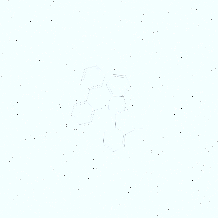 Cc1ccccc1-c1nc2ccccc2n1-c1ccccc1-c1ccccc1